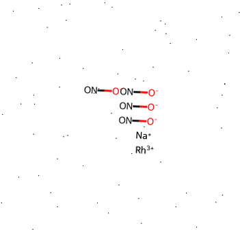 O=N[O-].O=N[O-].O=N[O-].O=N[O-].[Na+].[Rh+3]